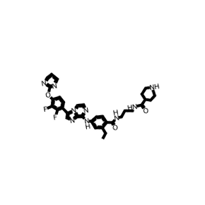 CCc1cc(Nc2nccn3c(-c4ccc(Oc5ncccn5)c(F)c4F)cnc23)ccc1C(=O)NCCCNC(=O)C1CCNCC1